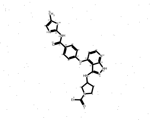 CCC(=O)N1CCC(Nc2n[nH]c3nccc(Oc4ccc(C(=O)Nc5ncc(C)s5)cc4)c23)C1